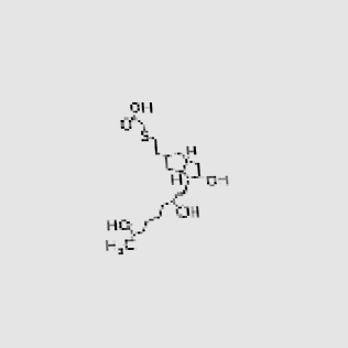 CC(O)CCCCC(O)C=C[C@H]1[C@@H]2CC(CCSCC(=O)O)C[C@H]2C[C@@H]1O